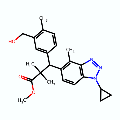 COC(=O)C(C)(C)C(c1ccc(C)c(CO)c1)c1ccc2c(nnn2C2CC2)c1C